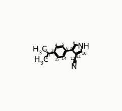 CC(C)c1ccc(-c2c[nH]cc2C#N)cc1